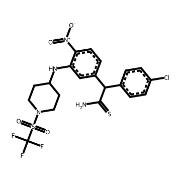 NC(=S)C(c1ccc(Cl)cc1)c1ccc([N+](=O)[O-])c(NC2CCN(S(=O)(=O)C(F)(F)F)CC2)c1